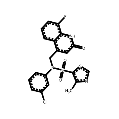 Cc1ncsc1S(=O)(=O)N(Cc1cc(=O)[nH]c2c(F)cccc12)c1cccc(Cl)c1